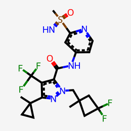 CC1(Cn2nc(C3(C)CC3)c(C(F)(F)F)c2C(=O)Nc2ccnc(S(C)(=N)=O)c2)CC(F)(F)C1